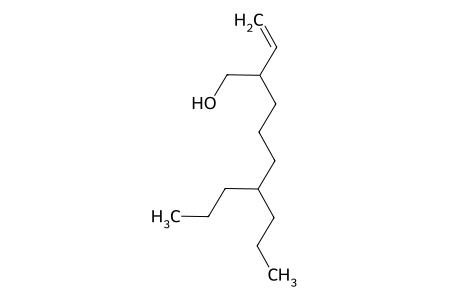 C=CC(CO)CCCC(CCC)CCC